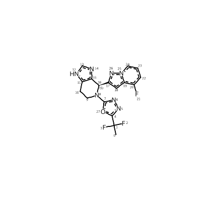 CC(F)(F)c1nnc(N2CCc3[nH]cnc3[C@H]2c2cc3c(F)cccn3n2)o1